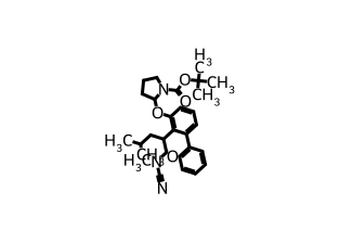 CC(C)CC(C(=O)N(C)C#N)c1c(OC2CCCN2C(=O)OC(C)(C)C)cccc1-c1ccccc1